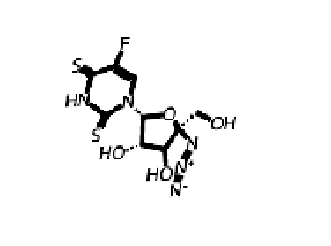 [N-]=[N+]=N[C@]1(CO)O[C@@H](n2cc(F)c(=S)[nH]c2=S)[C@@H](O)C1O